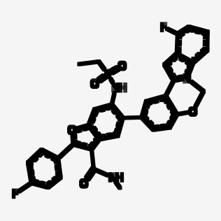 CCS(=O)(=O)Nc1cc2oc(-c3ccc(F)cc3)c(C(=O)NC)c2cc1-c1ccc2c(c1)-c1cc3c(F)cccc3n1CO2